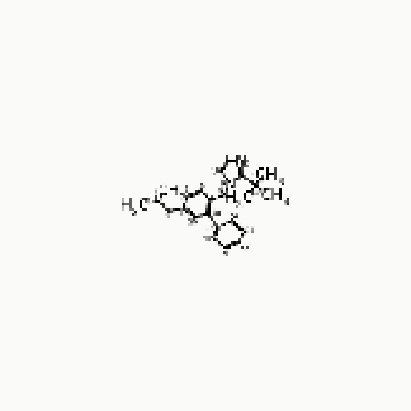 CC(C)Cc1ccc(Cn2ccnc2C(C)(C)C)c(-c2ccccc2)c1